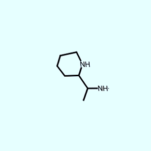 CC([NH])C1CCCCN1